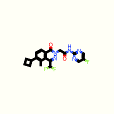 Cc1c(C2CCC2)ccc2c(=O)n(CC(=O)Nc3ncc(F)cn3)nc(C(F)F)c12